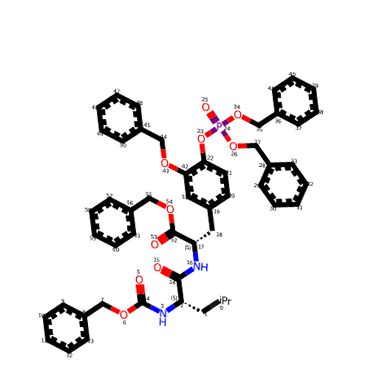 CC(C)C[C@H](NC(=O)OCc1ccccc1)C(=O)N[C@@H](Cc1ccc(OP(=O)(OCc2ccccc2)OCc2ccccc2)c(OCc2ccccc2)c1)C(=O)OCc1ccccc1